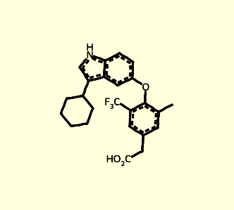 Cc1cc(CC(=O)O)cc(C(F)(F)F)c1Oc1ccc2[nH]cc(C3CCCCC3)c2c1